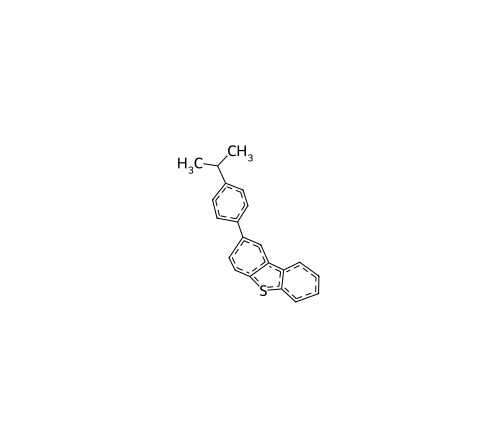 CC(C)c1ccc(-c2ccc3sc4ccccc4c3c2)cc1